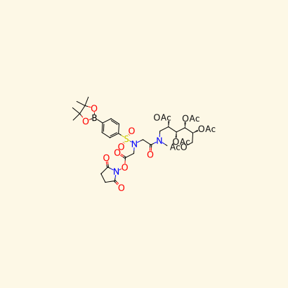 CC(=O)OC[C@H](OC(C)=O)[C@H](OC(C)=O)[C@@H](OC(C)=O)[C@@H](CN(C)C(=O)CN(CC(=O)ON1C(=O)CCC1=O)S(=O)(=O)c1ccc(B2OC(C)(C)C(C)(C)O2)cc1)OC(C)=O